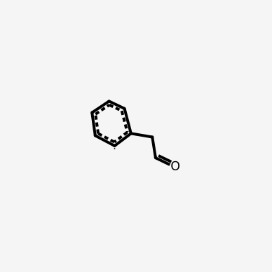 O=CCc1[c]cccc1